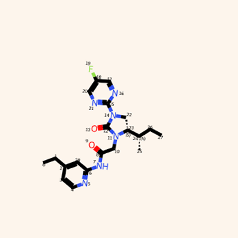 CCc1ccnc(NC(=O)CN2C(=O)N(c3ncc(F)cn3)C[C@@H]2[C@@H](C)CC)c1